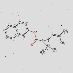 CC(C)=CC1C(C(=O)Oc2ccc3ccccc3c2)C1(C)C